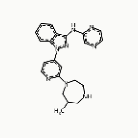 CC1CNCCN(c2cc(-n3nc(Nc4cnccn4)c4ccccc43)ccn2)C1